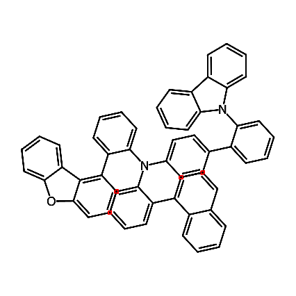 c1ccc(N(c2ccc(-c3ccccc3-n3c4ccccc4c4ccccc43)cc2)c2ccccc2-c2cccc3oc4ccccc4c23)c(-c2cccc3ccccc23)c1